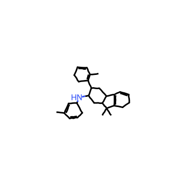 CC1=CC(NC2CC3C(CC2C2=C(C)C=CCC2)C2=C(CCC=C2)C3(C)C)CC=C1